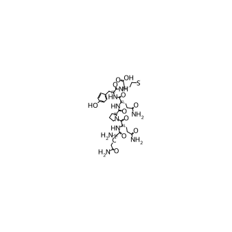 CSCC[C@H](NC(=O)[C@H](Cc1ccc(O)cc1)NC(=O)[C@H](CCC(N)=O)NC(=O)[C@@H]1CCCN1C(=O)[C@H](CCC(N)=O)NC(=O)[C@@H](N)CCC(N)=O)C(=O)O